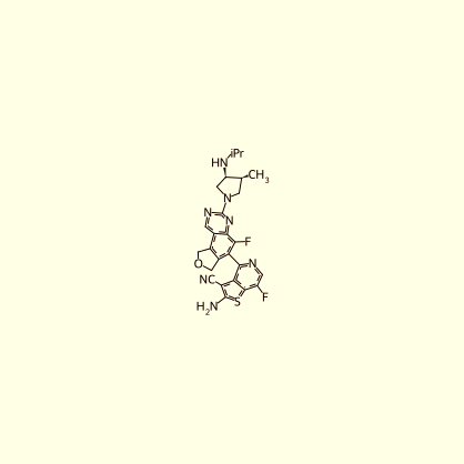 CC(C)N[C@@H]1CN(c2ncc3c4c(c(-c5ncc(F)c6sc(N)c(C#N)c56)c(F)c3n2)COC4)C[C@@H]1C